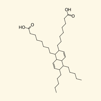 CCCCCC1C=CC2C(C=CC(CCCCCCCC(=O)O)C2CCCCCCCC(=O)O)C1CCCCC